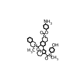 C[C@@H]1Cc2ccccc2CN1C(=O)c1cc2c(cc1-c1cc(C(=O)N(C)c3ccc(O)cc3)c3n1CCCC3)CCN(C(=O)Oc1ccc(N)cc1)C2